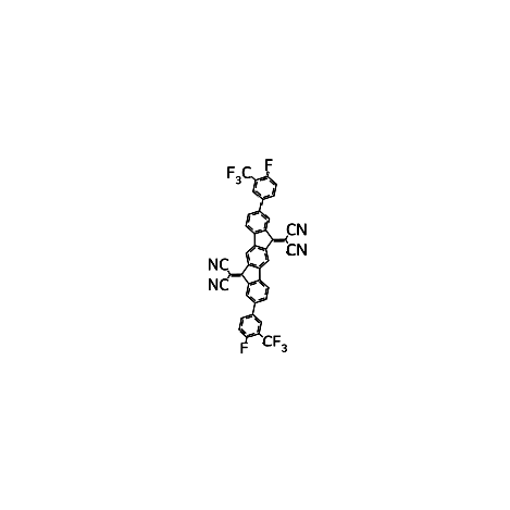 N#CC(C#N)=C1c2cc(-c3ccc(F)c(C(F)(F)F)c3)ccc2-c2cc3c(cc21)-c1ccc(-c2ccc(F)c(C(F)(F)F)c2)cc1C3=C(C#N)C#N